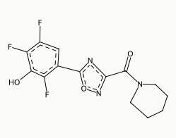 O=C(c1noc(-c2cc(F)c(F)c(O)c2F)n1)N1CCCCC1